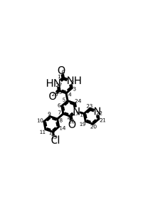 O=c1[nH]cc(-c2cc(-c3cccc(Cl)c3)c(=O)n(-c3cccnc3)c2)c(=O)[nH]1